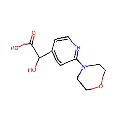 O=C(O)C(O)c1ccnc(N2CCOCC2)c1